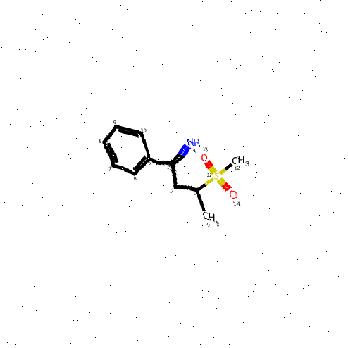 CC(CC(=N)c1cc[c]cc1)S(C)(=O)=O